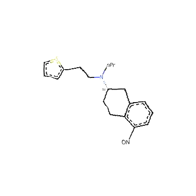 CCCN(CCc1cccs1)[C@H]1CCc2c(cccc2N=O)C1